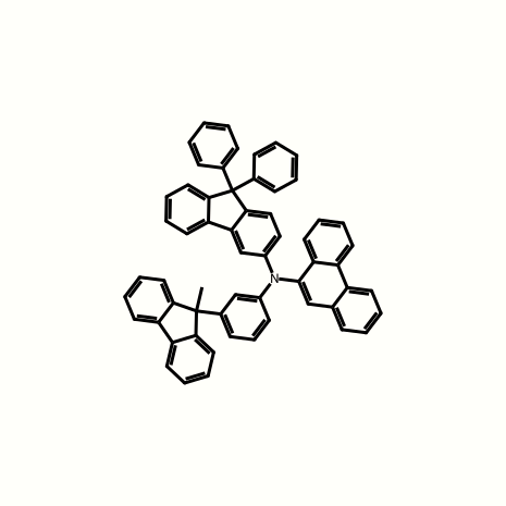 CC1(c2cccc(N(c3ccc4c(c3)-c3ccccc3C4(c3ccccc3)c3ccccc3)c3cc4ccccc4c4ccccc34)c2)c2ccccc2-c2ccccc21